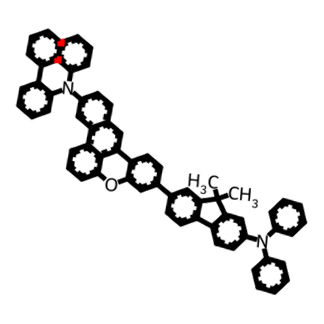 CC1(C)c2cc(-c3ccc4c(c3)Oc3cccc5c3c-4cc3ccc(N(c4ccccc4)c4ccccc4-c4ccccc4)cc35)ccc2-c2ccc(N(c3ccccc3)c3ccccc3)cc21